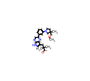 COCC1(C)CCN(c2cccc(-c3cnc4[nH]cc(CC(C)(C)C=O)c4n3)c2)C1